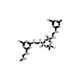 CNCNc1nc(Cl)nc(NCNP2(Cl)=NP(Cl)(NCNc3nc(C)nc(Cl)n3)=NP(C)(Cl)=N2)n1